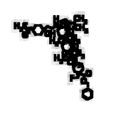 C=C(C)[C@@H]1CC[C@]2(NCC[C@]3(O)CC[C@@H]([S+](C)[O-])CC3)CC[C@]3(C)[C@H](CC[C@@H]4[C@@]5(C)CC=C(C6=CC[C@@](CF)(C(=O)OCc7ccccc7)CC6)C(C)(C)[C@@H]5CC[C@]43C)[C@@H]12